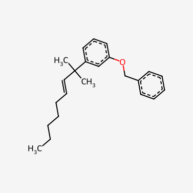 CCCCC/C=C/C(C)(C)c1cccc(OCc2ccccc2)c1